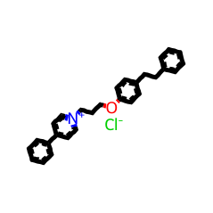 [Cl-].c1ccc(CCc2ccc(OCCC[n+]3ccc(-c4ccccc4)cc3)cc2)cc1